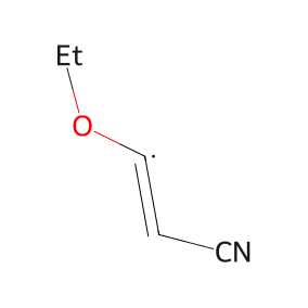 CCO/[C]=C/C#N